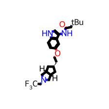 CC(C)(C)CC(=O)Nc1c[nH]c2ccc(OCC[C@@H]3C[C@@H]4CN(CC(F)(F)F)C[C@@H]4C3)cc12